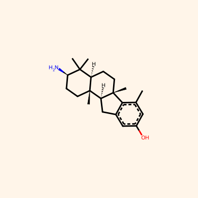 Cc1cc(O)cc2c1[C@@]1(C)CC[C@@H]3C(C)(C)[C@H](N)CC[C@@]3(C)[C@@H]1C2